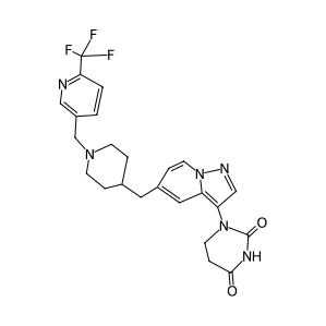 O=C1CCN(c2cnn3ccc(CC4CCN(Cc5ccc(C(F)(F)F)nc5)CC4)cc23)C(=O)N1